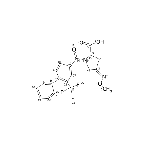 CON=C1C[C@@H](C(=O)O)N(C(=O)c2ccc(-c3ccccc3)c(C(F)(F)F)c2)C1